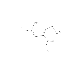 COC(=O)c1cc(OC)ccc1CC=O